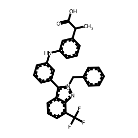 CC(C(=O)O)c1cccc(Nc2cccc(-c3c4cccc(C(F)(F)F)c4nn3Cc3ccccc3)c2)c1